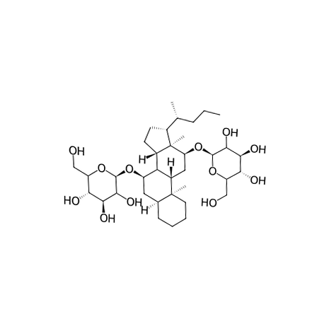 CCC[C@@H](C)[C@H]1CC[C@H]2C3[C@H](O[C@@H]4OC(CO)[C@@H](O)[C@H](O)C4O)C[C@@H]4CCCC[C@]4(C)[C@H]3C[C@H](O[C@@H]3OC(CO)[C@@H](O)[C@H](O)C3O)[C@]12C